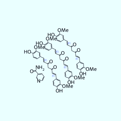 COc1cc(/C=C/C(=O)CC(=O)/C=C/c2ccc(O)c(OC)c2)ccc1O.COc1cc(/C=C/C(=O)CC(=O)/C=C/c2ccc(O)c(OC)c2)ccc1O.COc1cc(/C=C/C(=O)CC(=O)/C=C/c2ccc(O)c(OC)c2)ccc1O.NC(=O)c1cccnc1